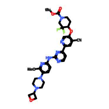 COc1nc(Nc2nccc(-c3cc(C#N)c(OC4CCN(C(=O)OC(C)(C)C)CC4(F)F)cn3)n2)ccc1N1CCN(C2COC2)CC1